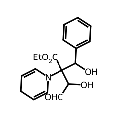 CCOC(=O)C(C(O)C=O)(C(O)c1ccccc1)N1C=CCC=C1